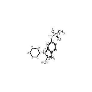 CS(=O)(=O)Oc1ccc2nc(O)n(C3CCCCC3)c2n1